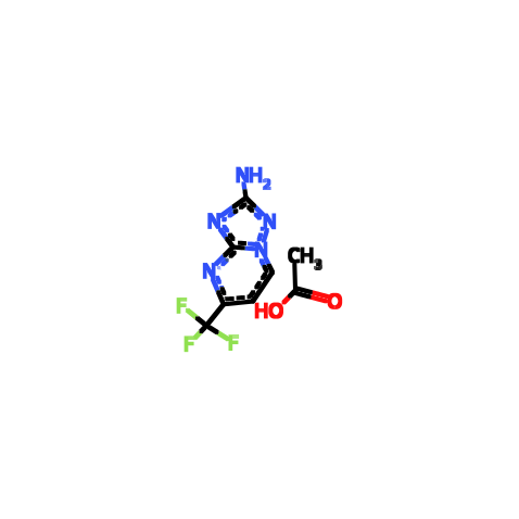 CC(=O)O.Nc1nc2nc(C(F)(F)F)ccn2n1